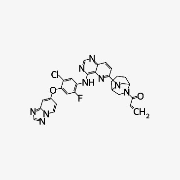 C=CC(=O)N1CC2CCCC1CN2c1ccc2ncnc(Nc3cc(Cl)c(Oc4ccn5ncnc5c4)cc3F)c2n1